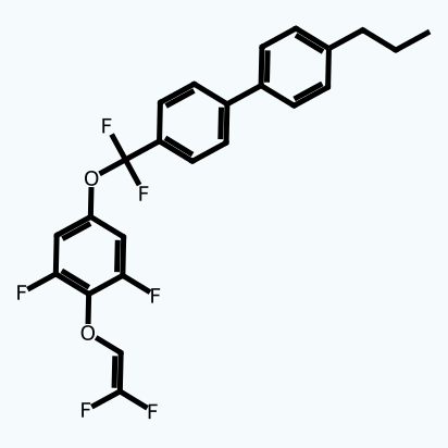 CCCc1ccc(-c2ccc(C(F)(F)Oc3cc(F)c(OC=C(F)F)c(F)c3)cc2)cc1